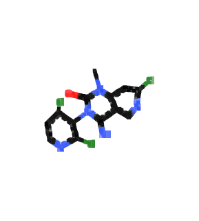 Cn1c(=O)n(-c2c(Cl)ccnc2Cl)c(=N)c2cnc(Cl)cc21